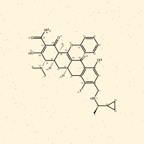 C[C@@H](NCc1cc(O)c2c(c1F)C[C@H]1C[C@H]3[C@H](N(C)C)C(O)=C(C(N)=O)C(=O)[C@@]3(C)C(Oc3ccccc3)=C1C2=O)C1CC1